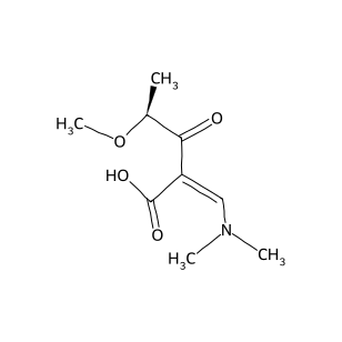 CO[C@@H](C)C(=O)/C(=C/N(C)C)C(=O)O